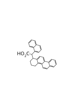 O=C(O)C(c1cccc2ccccc12)C1CCCc2c1ccc1c2ccc2ccccc21